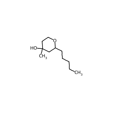 CCCCCC1CC(C)(O)CCO1